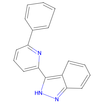 c1ccc(-c2cccc(-c3[nH]nc4ccccc34)n2)cc1